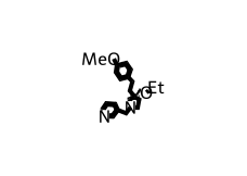 CCOC[C@@]1(CCc2ccc(OC)cc2)CCN(Cc2cccnc2)C1